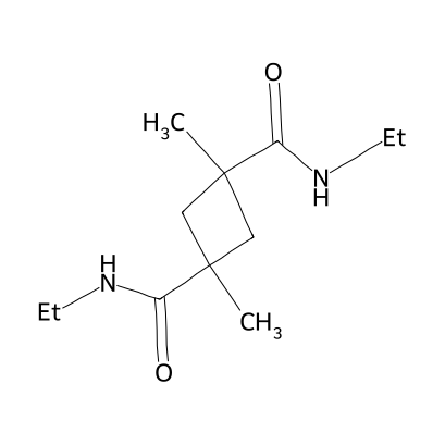 CCNC(=O)C1(C)CC(C)(C(=O)NCC)C1